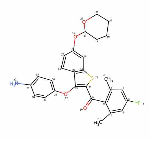 Cc1cc(F)cc(C)c1C(=O)c1sc2cc(OC3CCCCO3)ccc2c1Oc1ccc(N)cc1